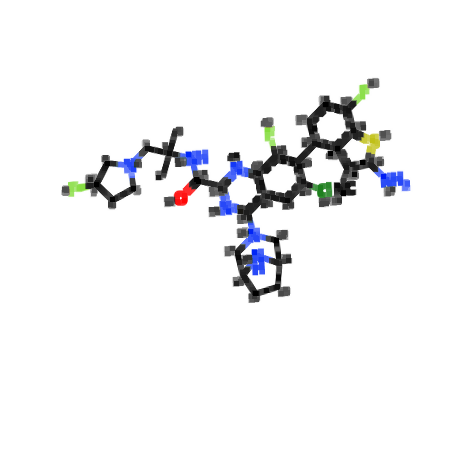 CC(C)(CN1CC[C@@H](F)C1)NC(=O)c1nc(N2CC3CCC(C2)N3)c2cc(Cl)c(-c3ccc(F)c4sc(N)c(C#N)c34)c(F)c2n1